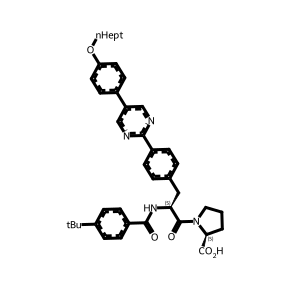 CCCCCCCOc1ccc(-c2cnc(-c3ccc(C[C@H](NC(=O)c4ccc(C(C)(C)C)cc4)C(=O)N4CCC[C@H]4C(=O)O)cc3)nc2)cc1